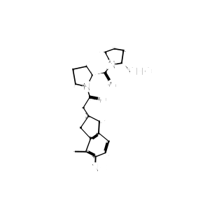 Cc1c([N+](=O)[O-])ccc2c1CC(CC(=O)N1CCC[C@H]1C(=O)N1CCC[C@H]1C=O)C2